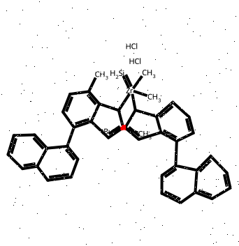 CC1=Cc2c(-c3cccc4ccccc34)ccc(C)c2[CH]1[Zr]([CH3])([CH3])(=[SiH2])[CH]1C(C(C)(C)C)=Cc2c(-c3cccc4ccccc34)cccc21.Cl.Cl